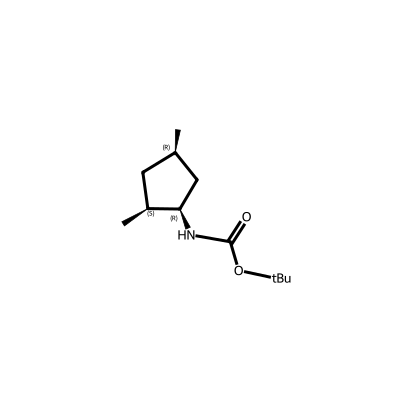 C[C@@H]1C[C@H](C)[C@H](NC(=O)OC(C)(C)C)C1